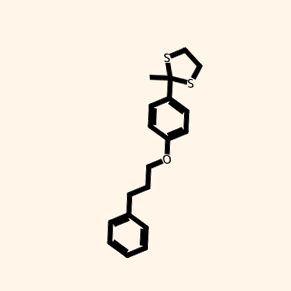 CC1(c2ccc(OCCCc3ccccc3)cc2)SCCS1